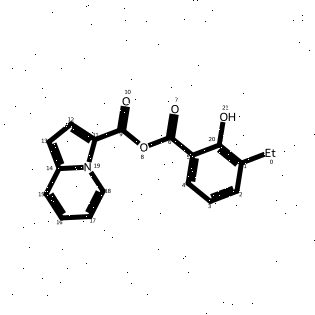 CCc1cccc(C(=O)OC(=O)c2ccc3ccccn23)c1O